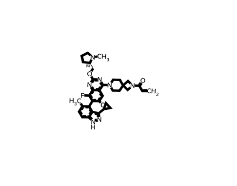 C=CC(=O)N1CC2(CCN(c3nc(OC[C@@H]4CCCN4C)nc4c(F)c(-c5c(C)ccc6[nH]nc(C7CC7)c56)c(Cl)cc34)CC2)C1